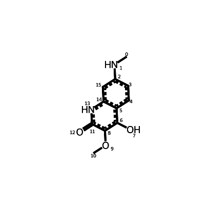 CNc1ccc2c(O)c(OC)c(=O)[nH]c2c1